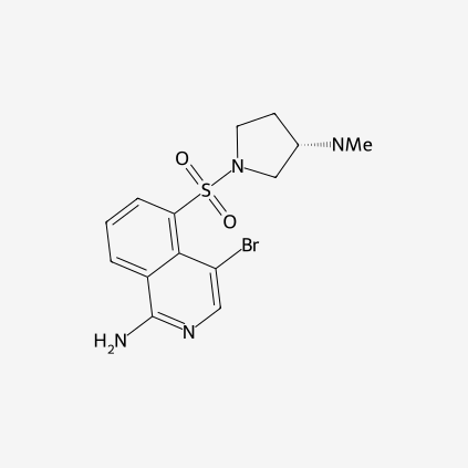 CN[C@H]1CCN(S(=O)(=O)c2cccc3c(N)ncc(Br)c23)C1